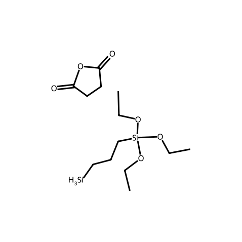 CCO[Si](CCC[SiH3])(OCC)OCC.O=C1CCC(=O)O1